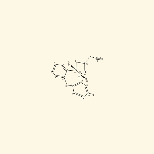 CNC[C@H]1C[C@H]2c3ccccc3Cc3ccc(C)cc3[C@H]2O1